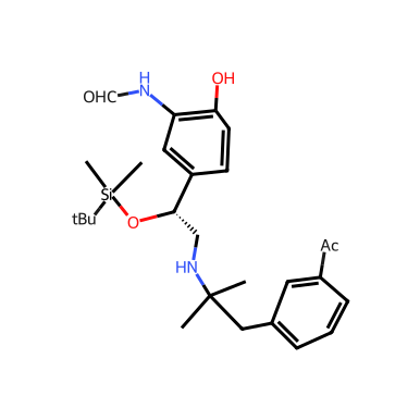 CC(=O)c1cccc(CC(C)(C)NC[C@H](O[Si](C)(C)C(C)(C)C)c2ccc(O)c(NC=O)c2)c1